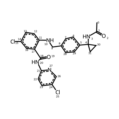 CC(=O)NC1(c2ccc(CNc3ccc(Cl)cc3C(=O)Nc3ccc(Cl)cn3)cc2)CC1